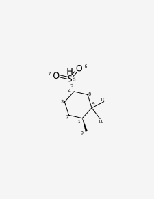 C[C@H]1CC[C@H]([SH](=O)=O)CC1(C)C